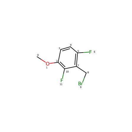 COc1ccc(F)c(CBr)c1F